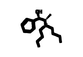 CCCCN(CCCC)[C@@H](C)[C@H](O)c1ccccc1